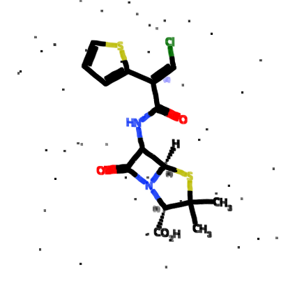 CC1(C)S[C@@H]2C(NC(=O)/C(=C/Cl)c3cccs3)C(=O)N2[C@H]1C(=O)O